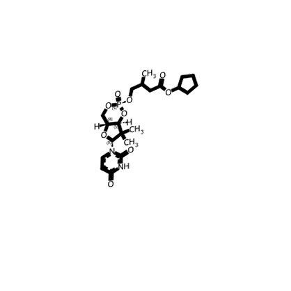 CC(CO[P@@]1(=O)OC[C@H]2O[C@@H](n3ccc(=O)[nH]c3=O)C(C)(C)[C@@H]2O1)CC(=O)OC1CCCC1